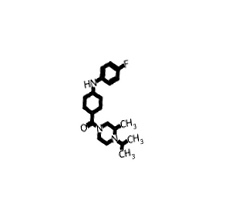 CC(C)N1CCN(C(=O)C2CCC(Nc3ccc(F)cc3)CC2)CC1C